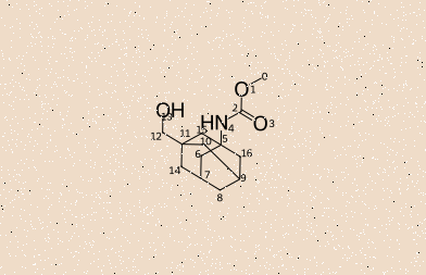 COC(=O)NC12CC3CC(CC(CO)(C3)C1)C2